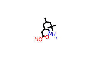 CC(CC(CN)CC(=O)O)CC(C)(C)C